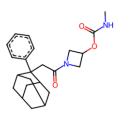 CNC(=O)OC1CN(C(=O)CC2(c3ccccc3)C3CC4CC(C3)CC2C4)C1